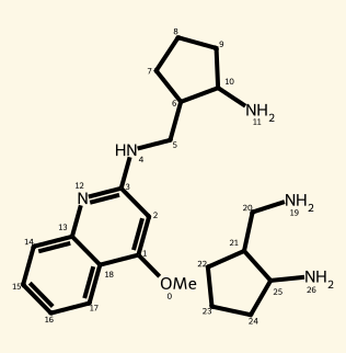 COc1cc(NCC2CCCC2N)nc2ccccc12.NCC1CCCC1N